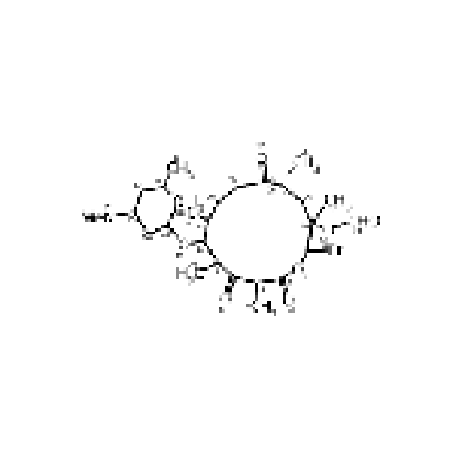 CCC1OC(=O)C(C)C(=O)C(C)C(OC2CC(NC)CC(C)O2)C(C)CCC(=O)[C@H](C)CC1(C)OC=O